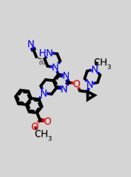 COC(=O)c1cc(N2CCc3c(nc(OCC4(N5CCN(C)CC5)CC4)nc3N3CCN[C@@H](CC#N)C3)C2)c2ccccc2c1